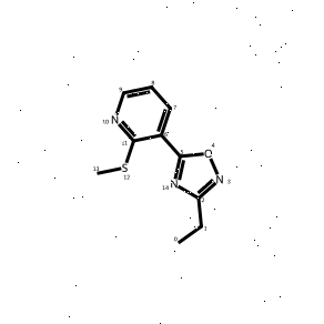 CCc1noc(-c2cccnc2SC)n1